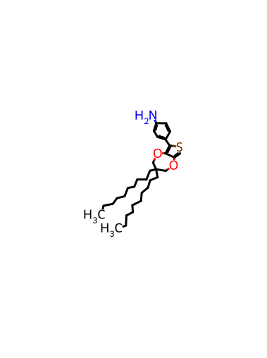 CCCCCCCCCCC1(CCCCCCCCCC)COc2csc(-c3ccc(N)cc3)c2OC1